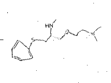 CN[C@H](COCCN(C)C)CSc1ccccc1